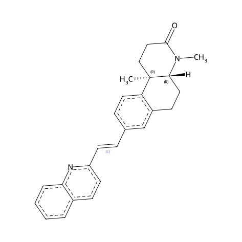 CN1C(=O)CC[C@]2(C)c3ccc(/C=C/c4ccc5ccccc5n4)cc3CC[C@@H]12